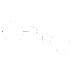 O=C1c2sc(C3CCCCCCCCCCC3)nc2CCN1C1CCCCCCCCCC1